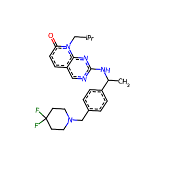 CC(C)Cn1c(=O)ccc2cnc(NC(C)c3ccc(CN4CCC(F)(F)CC4)cc3)nc21